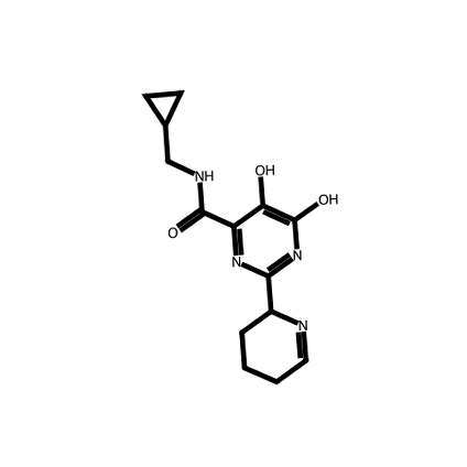 O=C(NCC1CC1)c1nc(C2CCCC=N2)nc(O)c1O